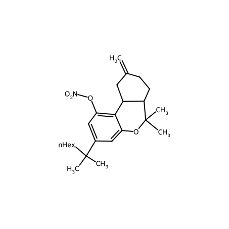 C=C1CCC2C(C1)c1c(O[N+](=O)[O-])cc(C(C)(C)CCCCCC)cc1OC2(C)C